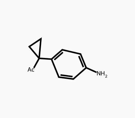 CC(=O)C1(c2ccc(N)cc2)CC1